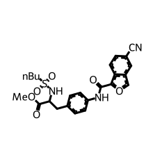 CCCCS(=O)(=O)NC(Cc1ccc(NC(=O)c2occ3cc(C#N)ccc23)cc1)C(=O)OC